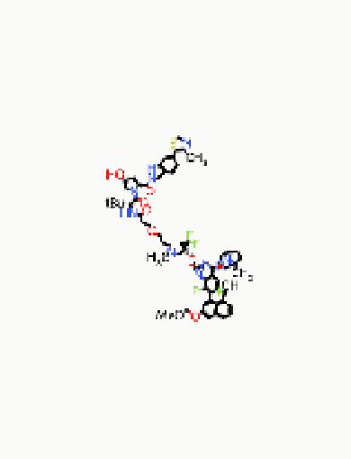 C#Cc1cccc2cc(OCOC)cc(-c3c(F)cc4c(N5CC6CCC(C)(C5)N6C(=O)O)nc(OC[C@]5(CN(C)CCCOCCC(=O)N[C@H](C(=O)N6C[C@H](O)C[C@H]6C(=O)NCc6ccc(-c7scnc7C)cc6)C(C)(C)C)CC5(F)F)nc4c3F)c12